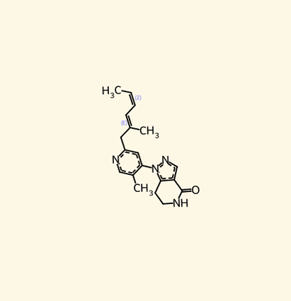 C/C=C\C=C(/C)Cc1cc(-n2ncc3c2CCNC3=O)c(C)cn1